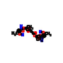 Cc1ccc(NC(=O)OCCC(C)(C)OC(=O)CCCCC(=O)OCCC(C)(C)OC(=O)Nc2ccc(C)c(OC#N)c2)cc1OC#N